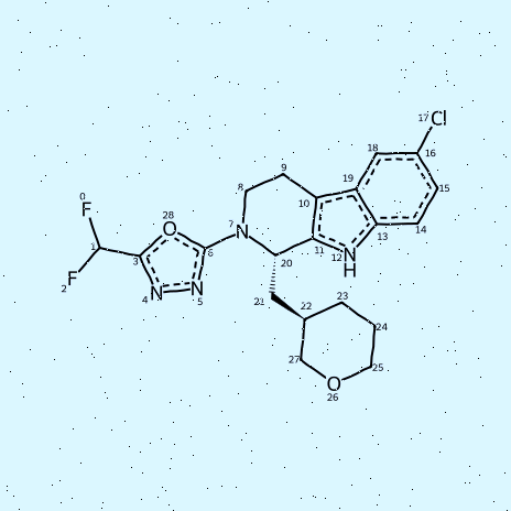 FC(F)c1nnc(N2CCc3c([nH]c4ccc(Cl)cc34)[C@@H]2C[C@H]2CCCOC2)o1